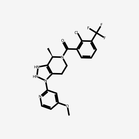 COc1ccnc(N2NNC3=C2CCN(C(=O)c2cccc(C(F)(F)F)c2Cl)[C@@H]3C)c1